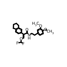 COc1ccc(CCNC(=O)/C(=C/OC(F)F)c2ccc3c(c2)CCCC3)cc1OC